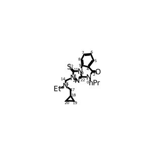 CCCn1c(=O)c2ccccc2n2c(=S)n(CN(CC)CC3CC3)nc12